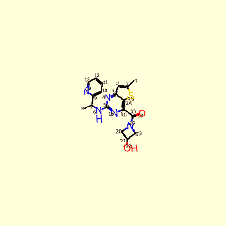 Cc1cc2nc(NC(C)c3ccccn3)nc(C(=O)N3CC(O)C3)c2s1